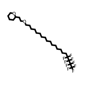 FC(F)(F)C(F)(F)C(F)(F)C(F)(F)CCCCCCCCCCCCCCCCOCCC1CCCCO1